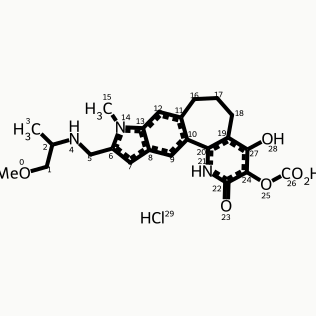 COCC(C)NCc1cc2cc3c(cc2n1C)CCCc1c-3[nH]c(=O)c(OC(=O)O)c1O.Cl